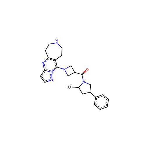 CC1CC(c2ccccc2)CN1C(=O)C1CN(c2c3c(nc4ccnn24)CCNCC3)C1